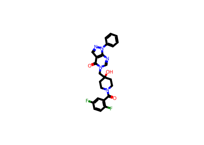 O=C(c1cc(F)ccc1F)N1CCC(O)(Cn2cnc3c(cnn3-c3ccccc3)c2=O)CC1